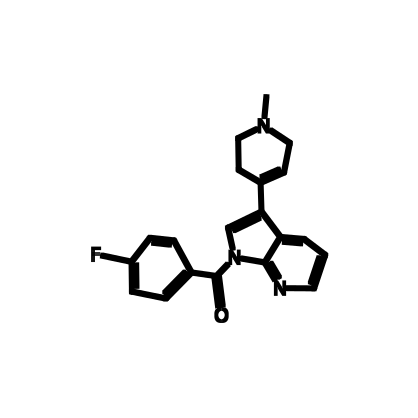 CN1CC=C(c2cn(C(=O)c3ccc(F)cc3)c3ncccc23)CC1